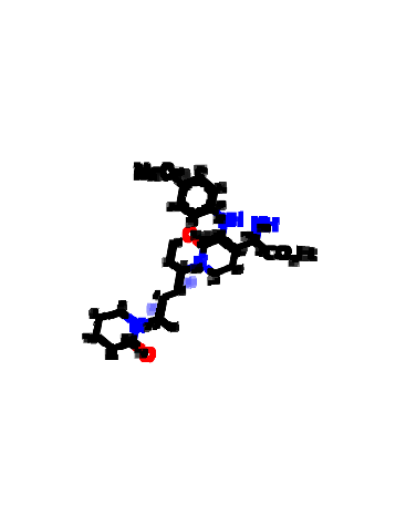 C=C/C(=C\C=C(/C)N1CCCCC1=O)N1CCC(C(=N)C(=O)OCC)=C(Nc2ccc(OC)cc2)C1=O